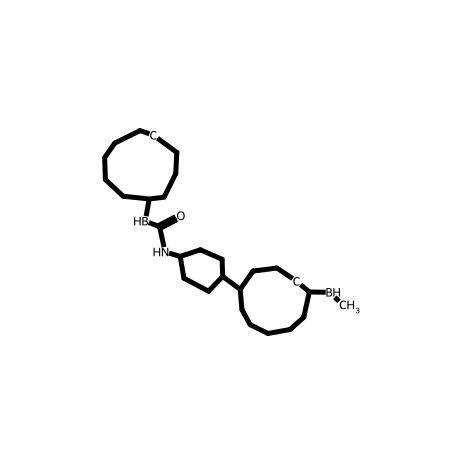 CBC1CCCCCC(C2CCC(NC(=O)BC3CCCCCCCCC3)CC2)CCC1